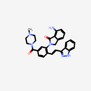 CN1CCN(C(=O)c2ccc(C=Cc3n[nH]c4ccccc34)c(N3Cc4cccc(N)c4C3=O)c2)CC1